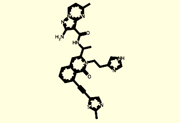 Cc1ccn2nc(N)c(C(=O)NC(C)c3cc4cccc(C#Cc5cnc(C)s5)c4c(=O)n3CCc3c[nH]cn3)c2n1